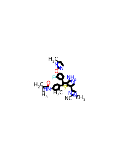 C=C(C)C(=O)Nc1ccc(-c2sc3c(-c4cn(C)c(C#N)n4)cnc(N)c3c2-c2ccc(Oc3nccc(C)n3)c(F)c2)c(C)c1